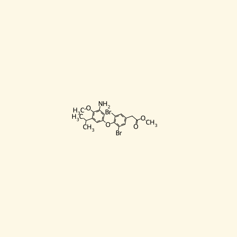 COC(=O)Cc1cc(Br)c(Oc2cc(N)c(OC)c(C(C)C)c2)c(Br)c1